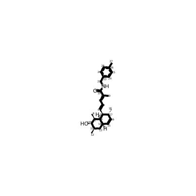 C/C(=C\C=C\[C@@H]1[C@@H]2[C@H](C)[C@@H](O)[C@H](C)C[C@@H]2C=C[C@H]1C)C(=O)NCc1ccc(C)cc1